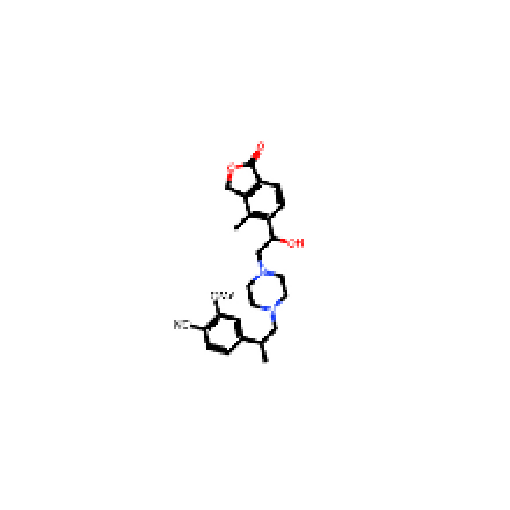 COc1cc(C(C)CN2CCN(CC(O)c3ccc4c(c3C)COC4=O)CC2)ccc1C#N